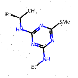 CCNc1nc(N[C@H](C)C(C)C)nc(SC)n1